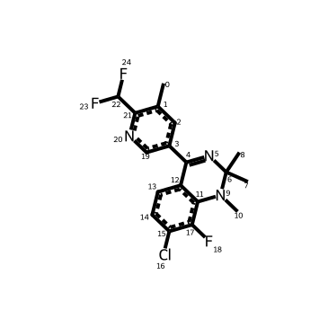 Cc1cc(C2=NC(C)(C)N(C)c3c2ccc(Cl)c3F)cnc1C(F)F